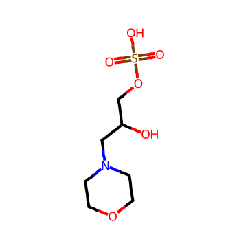 O=S(=O)(O)OCC(O)CN1CCOCC1